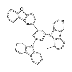 Cc1cccc2c3ccccc3n(-c3cc(-c4ccc5oc6ccccc6c5c4)cc(-n4c5c(c6ccccc64)C=CCC5)c3)c12